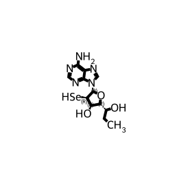 CCC(O)[C@H]1O[C@@H](n2cnc3c(N)ncnc32)[C@H]([SeH])[C@@H]1O